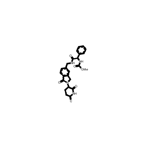 COC(=O)NC(C(=O)NCc1ccc2c(c1)CN(C1CCC(=O)NC1=O)C2=O)c1ccccc1